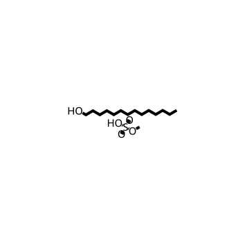 CCCCCCCCCCCCCCO.COS(=O)(=O)O